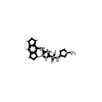 CN1CCC(NS(=O)(=O)c2nnc(Nc3c4c(cc5c3CCC5)CCC4)[nH]2)C1